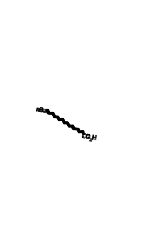 CCCCC=CCCCCCCCCC=CCCCC(=O)O